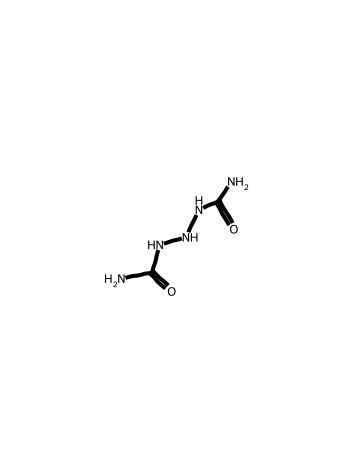 NC(=O)NNNC(N)=O